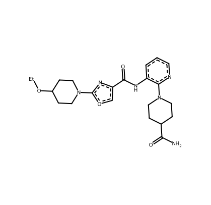 CCOC1CCN(c2nc(C(=O)Nc3cccnc3N3CCC(C(N)=O)CC3)co2)CC1